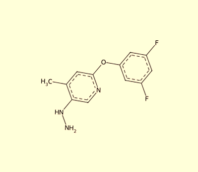 Cc1cc(Oc2cc(F)cc(F)c2)ncc1NN